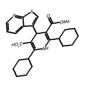 COC(=O)C1=C(C2CCCCC2)NC(C2CCCCC2)=C(C(=O)O)C1c1csc2ncccc12